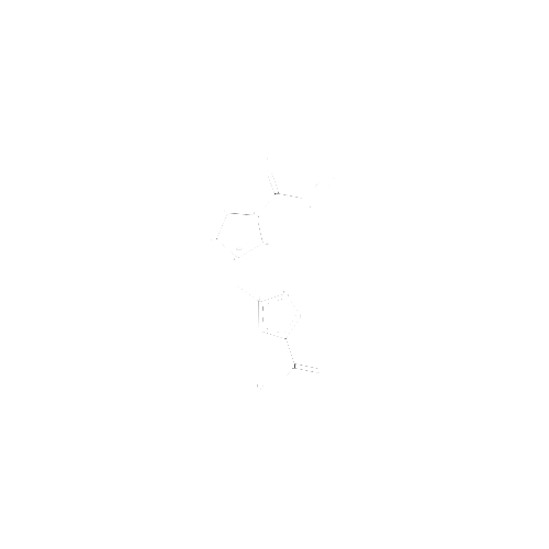 COC(=O)c1cnc(C[C@@H]2CCN(C(=O)OC(C)(C)C)C2)s1